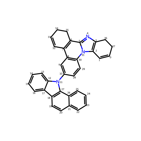 C1=Cc2c(nc3c4c(c5cc(-n6c7ccccc7c7ccc8ccccc8c76)ccc5n23)C=CCC4)CC1